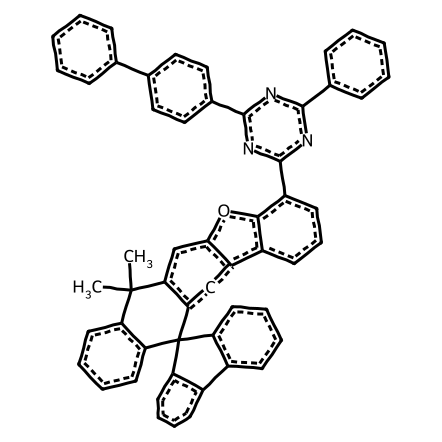 CC1(C)c2ccccc2C2(c3ccccc3-c3ccccc32)c2cc3c(cc21)oc1c(-c2nc(-c4ccccc4)nc(-c4ccc(-c5ccccc5)cc4)n2)cccc13